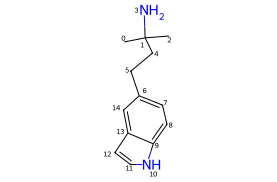 CC(C)(N)CCc1ccc2[nH]ccc2c1